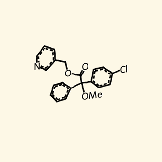 COC(C(=O)OCc1cccnc1)(c1ccccc1)c1ccc(Cl)cc1